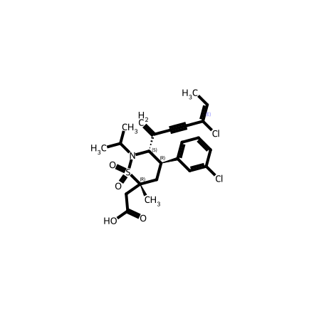 C=C(C#C/C(Cl)=C\C)[C@@H]1[C@@H](c2cccc(Cl)c2)C[C@](C)(CC(=O)O)S(=O)(=O)N1C(C)C